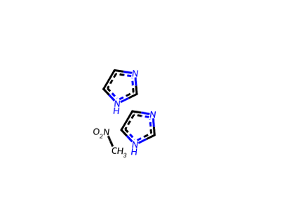 C[N+](=O)[O-].c1c[nH]cn1.c1c[nH]cn1